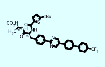 C[C@@H](NC(=O)[C@H](Cc1ccc(-c2ncc(-c3ccc(-c4ccc(C(F)(F)F)cc4)cc3)cn2)cc1)NC(=O)c1ccc(C(C)(C)C)s1)C(=O)O